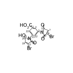 O=C(O)c1cc(N2C(=O)C=C(Br)C2=O)cc(N2C(=O)C(Br)=CC2O)c1